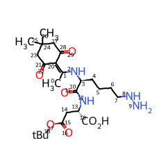 CC(N[C@@H](CCCCNN)C(=O)N[C@@H](CC(=O)OC(C)(C)C)C(=O)O)=C1C(=O)CC(C)(C)CC1=O